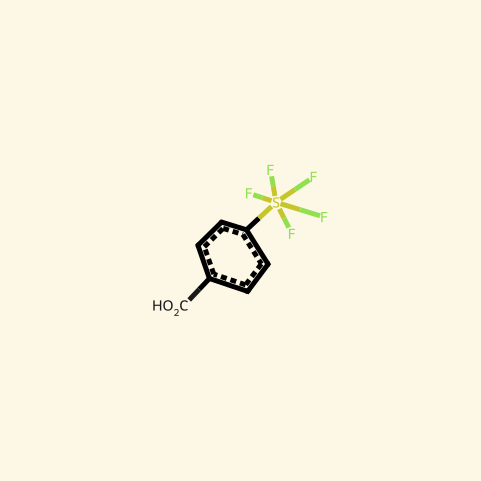 O=C(O)c1ccc(S(F)(F)(F)(F)F)cc1